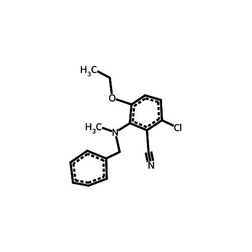 CCOc1ccc(Cl)c(C#N)c1N(C)Cc1ccccc1